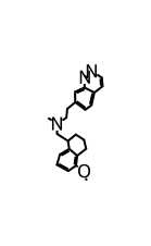 COc1cccc2c1CCCC2CN(C)CCc1ccc2ccnnc2c1